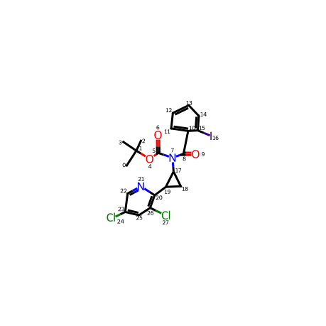 CC(C)(C)OC(=O)N(C(=O)c1ccccc1I)C1CC1c1ncc(Cl)cc1Cl